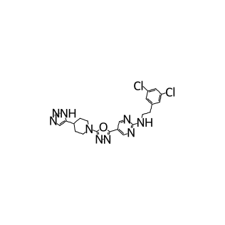 Clc1cc(Cl)cc(CCNc2ncc(-c3nnc(N4CCC(c5cnn[nH]5)CC4)o3)cn2)c1